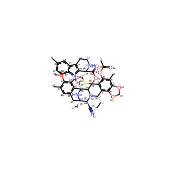 CC[C@H]1c2c3c(c(C)c(OC(C)=O)c2[C@]2(OC(=O)[C@]4(CS2)NCCc2c4[nH]c4ccc(C)cc24)C2[C@H]4N[C@H](Cc5cc(C)c(OC)c(O)c54)[C@H](C#N)N21)OCO3